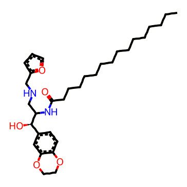 CCCCCCCCCCCCCCCC(=O)NC(CNCc1ccco1)[C@H](O)c1ccc2c(c1)OCCO2